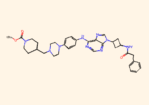 CC(C)(C)OC(=O)N1CCC(CN2CCN(c3ccc(Nc4ncnc5c4ncn5C4CC(NC(=O)Cc5ccccc5)C4)cc3)CC2)CC1